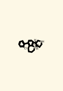 Clc1ccccc1-c1ccc2c3c1CCCCN3[C@H]1CCNC[C@@H]21